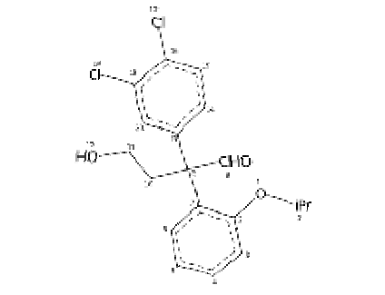 CC(C)Oc1ccccc1C([C]=O)(CCO)c1ccc(Cl)c(Cl)c1